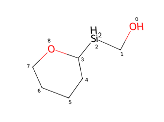 OC[SiH2]C1CCCCO1